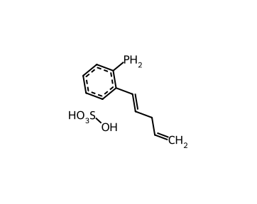 C=CCC=Cc1ccccc1P.O=S(=O)(O)O